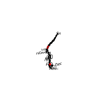 C#CC#CC#CC#CC#CC#CC#CC#CC(O)CC(CCCCC1NC(=O)C(CCCCN(CC(O)CCCCCCCCCC)CC(O)CCCCCCCCCC)NC1=O)CC(O)CCCCCCCCCC